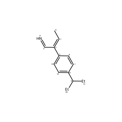 C/C=C(\C=N)c1ccc(C(CC)CC)cc1